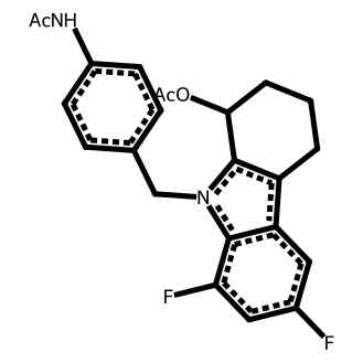 CC(=O)Nc1ccc(Cn2c3c(c4cc(F)cc(F)c42)CCCC3OC(C)=O)cc1